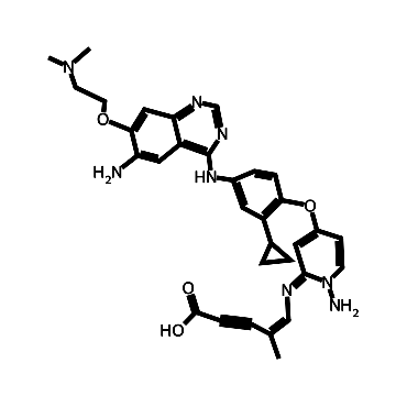 C/C(C#CC(=O)O)=C/N=c1/cc(Oc2ccc(Nc3ncnc4cc(OCCN(C)C)c(N)cc34)cc2C2CC2)ccn1N